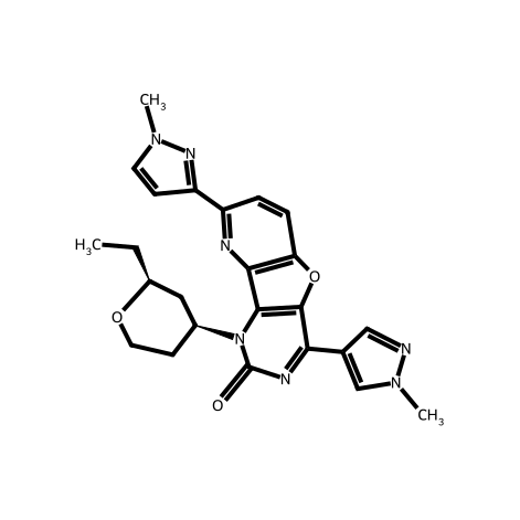 CC[C@H]1C[C@@H](n2c(=O)nc(-c3cnn(C)c3)c3oc4ccc(-c5ccn(C)n5)nc4c32)CCO1